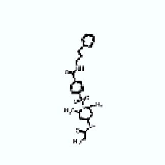 C=CC(=O)NC1CC(C)N(S(=O)(=O)c2ccc(C(=O)NCCCc3ccccc3)cc2)C(C)C1